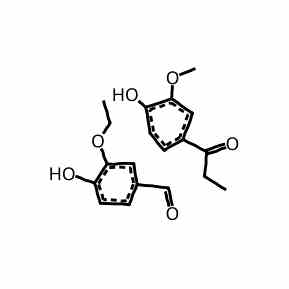 CCC(=O)c1ccc(O)c(OC)c1.CCOc1cc(C=O)ccc1O